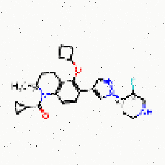 C[C@H]1CCc2c(ccc(-c3cnn([C@@H]4CCNC[C@@H]4F)c3)c2OC2CCC2)N1C(=O)C1CC1